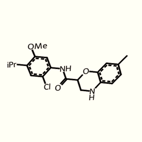 COc1cc(NC(=O)C2CNc3ccc(C)cc3O2)c(Cl)cc1C(C)C